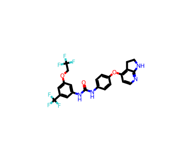 O=C(Nc1ccc(Oc2ccnc3c2CCN3)cc1)Nc1cc(OCC(F)(F)F)cc(C(F)(F)F)c1